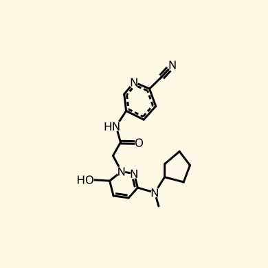 CN(C1=NN(CC(=O)Nc2ccc(C#N)nc2)C(O)C=C1)C1CCCC1